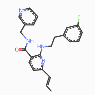 CC=Cc1ccc(C(=O)NCc2cccnc2)c(NCCc2cccc(F)c2)n1